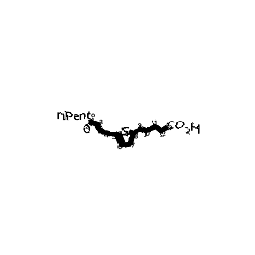 CCCCCC(=O)C=Cc1ccc(CCCCC(=O)O)s1